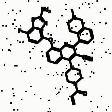 C=CC(=O)N1CCN(c2c(C#N)c(-c3cccc4c3CCN(C)C4)nc3c(Oc4ccc(F)c5sc(N)nc45)cccc23)CC1